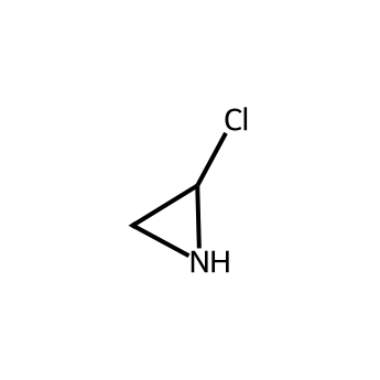 ClC1CN1